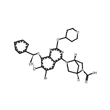 C[C@H](Oc1c(Cl)c(Br)cc2c(N3C[C@@H]4C[C@H]3CN4C(=O)O)nc(OC3CCOCC3)nc12)c1ccccc1